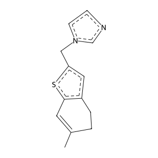 CC1=Cc2sc(Cn3ccnc3)cc2CC1